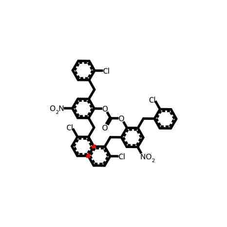 O=C(Oc1c(Cc2ccccc2Cl)cc([N+](=O)[O-])cc1Cc1ccccc1Cl)Oc1c(Cc2ccccc2Cl)cc([N+](=O)[O-])cc1Cc1ccccc1Cl